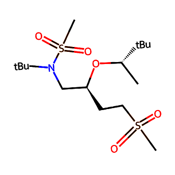 C[C@H](O[C@@H](CCS(C)(=O)=O)CN(C(C)(C)C)S(C)(=O)=O)C(C)(C)C